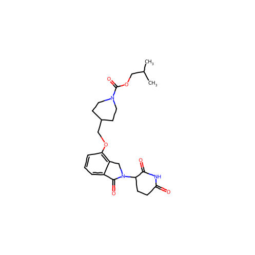 CC(C)COC(=O)N1CCC(COc2cccc3c2CN(C2CCC(=O)NC2=O)C3=O)CC1